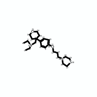 CCN(CC)CC1(c2ccc(OCCCN3CCSCC3)cc2)CCOCC1